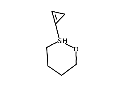 C1=C([SiH]2CCCCO2)C1